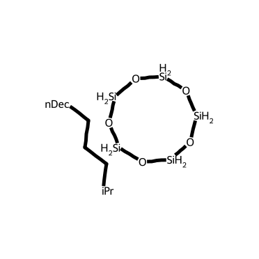 CCCCCCCCCCCCCC(C)C.O1[SiH2]O[SiH2]O[SiH2]O[SiH2]O[SiH2]1